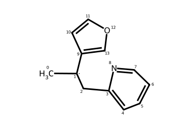 C[C](Cc1ccccn1)c1ccoc1